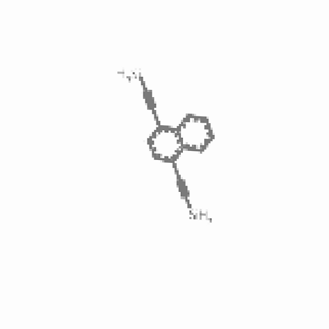 [SiH3]C#Cc1[c]cc(C#C[SiH3])c2c[c]ccc12